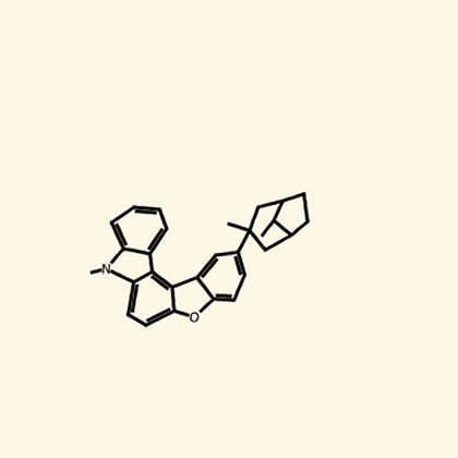 CC1C2CCC1CC(C)(c1ccc3oc4ccc5c(c6ccccc6n5C)c4c3c1)C2